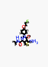 CC(C)NC(=O)c1nn(-c2ccc(OCCF)cc2)c(=O)c2c(N)scc12